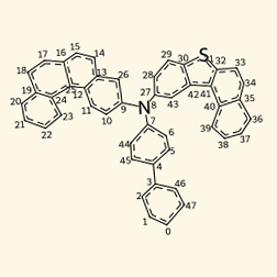 c1ccc(-c2ccc(N(c3ccc4c(ccc5ccc6ccccc6c54)c3)c3ccc4sc5ccc6ccccc6c5c4c3)cc2)cc1